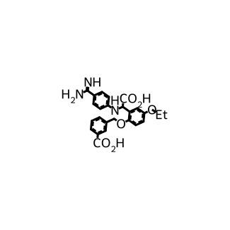 CCOc1ccc(OCc2cccc(C(=O)O)c2)c(C(Nc2ccc(C(=N)N)cc2)C(=O)O)c1